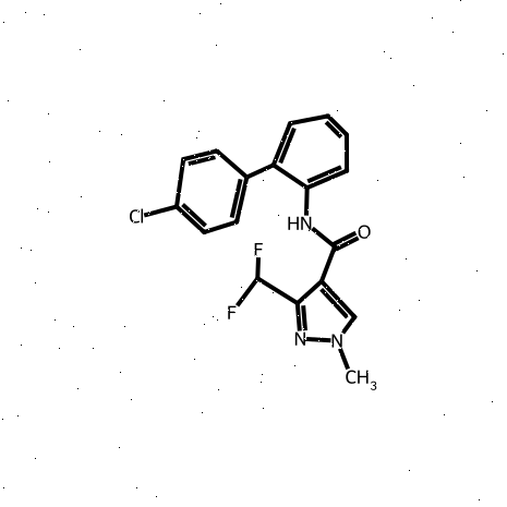 Cn1cc(C(=O)Nc2ccccc2-c2ccc(Cl)cc2)c(C(F)F)n1